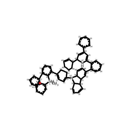 C[Si@H](c1ccccc1)c1c(C2=CC=C(N3C4C=CC=CC4C4C=C(c5ccccc5C5=CC(c6ccccc6)=CC(C6C=CCCC6)N5)C=CC43)CC2)cccc1-c1ccccc1